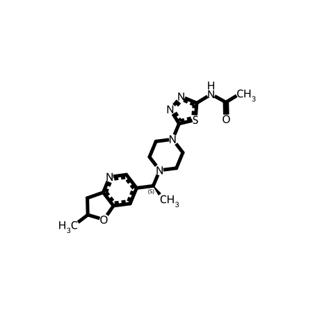 CC(=O)Nc1nnc(N2CCN([C@@H](C)c3cnc4c(c3)OC(C)C4)CC2)s1